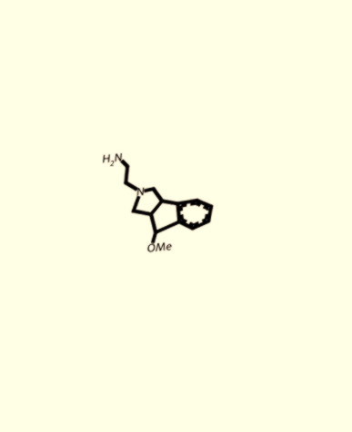 COC1c2ccccc2C2CN(CCN)CC21